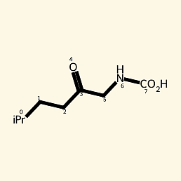 CC(C)CCC(=O)CNC(=O)O